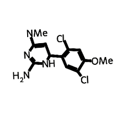 CNC1=CC(c2cc(Cl)c(OC)cc2Cl)NC(N)=N1